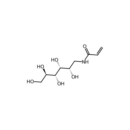 C=CC(=O)NC[C@H](O)[C@@H](O)[C@H](O)[C@H](O)CO